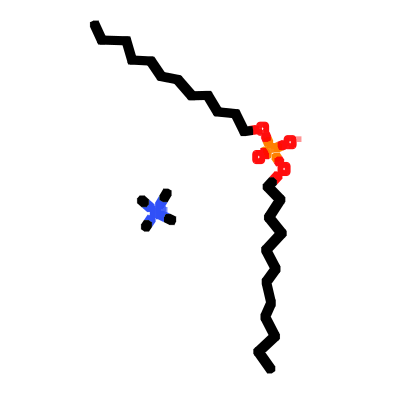 CCCCCCCCCCCCOP(=O)([O-])OCCCCCCCCCCCC.C[N+](C)(C)C